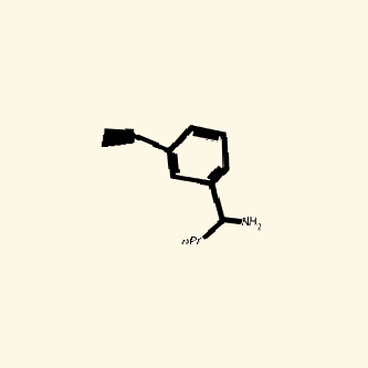 C#Cc1cccc(C(N)CCC)c1